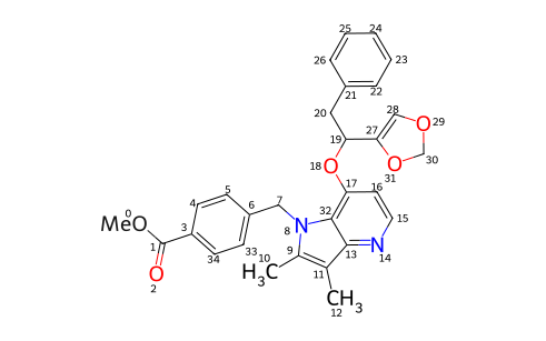 COC(=O)c1ccc(Cn2c(C)c(C)c3nccc(OC(Cc4ccccc4)C4=COCO4)c32)cc1